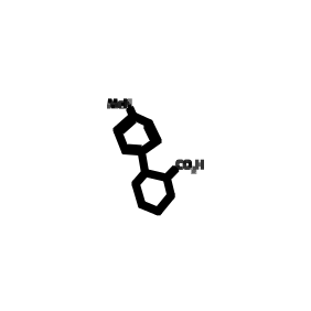 CNc1ccc(C2CCCCC2C(=O)O)cc1